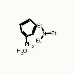 CCN(CC)CC.O.Pc1ccccc1